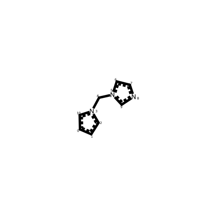 c1ccn(Cn2ccnc2)c1